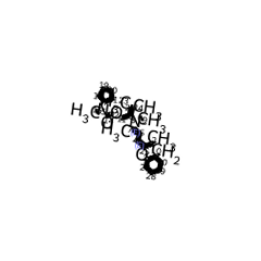 C=C(C)/C(=C\C=C(/C)N(C)C(COC(=O)N(C)C1CCCC1)=C(C)C)OC1CCCCC1